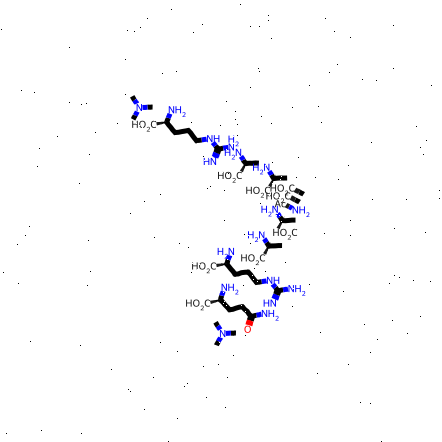 CC(=O)O.CC(=O)O.CC(N)=O.CN(C)C.CN(C)C.C[C@H](N)C(=O)O.C[C@H](N)C(=O)O.C[C@H](N)C(=O)O.C[C@H](N)C(=O)O.N=C(N)NCCC[C@H](N)C(=O)O.N=C(N)NCCC[C@H](N)C(=O)O.NC(=O)CC[C@H](N)C(=O)O